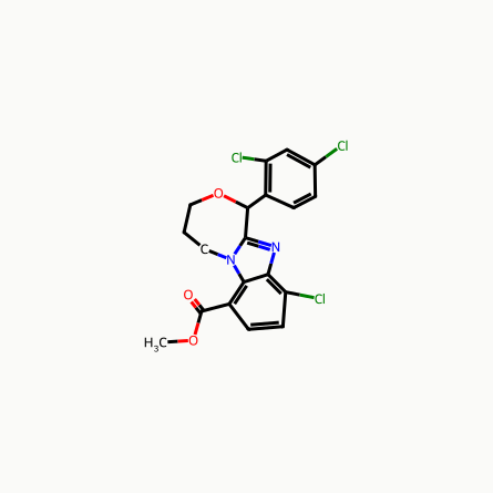 COC(=O)c1ccc(Cl)c2nc3n(c12)CCCOC3c1ccc(Cl)cc1Cl